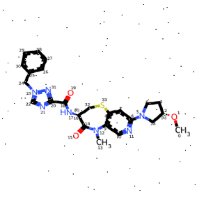 CO[C@H]1CCN(c2cc3c(cn2)N(C)C(=O)[C@@H](NC(=O)c2ncn(Cc4ccccc4)n2)CS3)C1